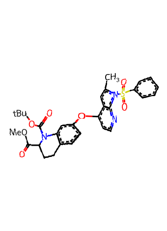 COC(=O)C1CCc2ccc(Oc3ccnc4c3cc(C)n4S(=O)(=O)c3ccccc3)cc2N1C(=O)OC(C)(C)C